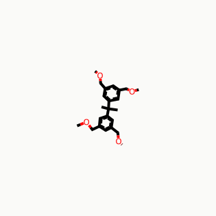 COCc1cc(COC)cc(C(C)(C)c2cc(COC)cc(COC)c2)c1